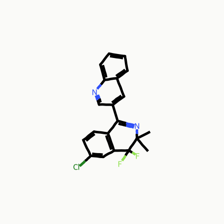 CC1(C)N=C(c2cnc3ccccc3c2)c2ccc(Cl)cc2C1(F)F